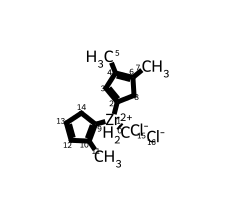 [CH2]=[Zr+2]([C]1=CC(C)=C(C)C1)[C]1=C(C)C=CC1.[Cl-].[Cl-]